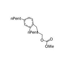 CCCCCc1ccc(CCCOC(=O)OC)c(CCCCC)c1